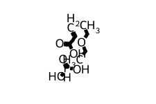 C=CC(=O)O.CCOCC.O=[PH](O)O